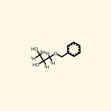 [2H]C([2H])(O)C([2H])(O)C([2H])([2H])OCc1ccccc1